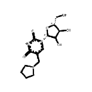 O=c1[nH]c(=O)n([C@@H]2O[C@H](CO)C(O)C2O)cc1CN1CCCC1